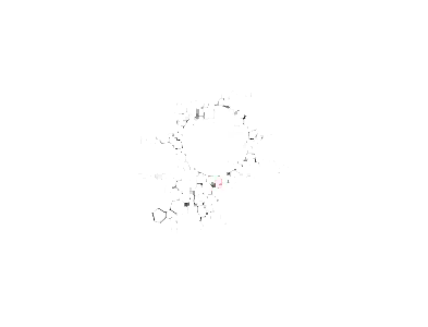 CCCCCCCC(C)C(=O)NC(Cc1c[nH]c2ccccc12)C(=O)NC(CC(N)=O)C(=O)NC(CC(=O)O)C(=O)NC1C(=O)NCC(=O)NC(CCCN)C(=O)NC(CC(=O)O)C(=O)NC(C)C(=O)NC(CC(=O)O)C(=O)NCC(=O)NC(CO)C(=O)NC(CCC(=O)O)C(=O)NC(C(C)CC)C(=O)OC1C